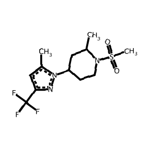 Cc1cc(C(F)(F)F)nn1C1CCN(S(C)(=O)=O)C(C)C1